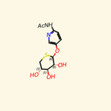 CC(=O)Nc1ccc(O[C@@H]2SC[C@@H](O)[C@H](O)[C@H]2O)cn1